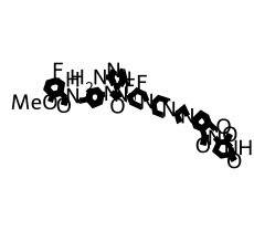 COc1ccc(F)cc1C(=O)NCc1ccc(-n2c(=O)n([C@H]3CCN(C4CCN(C5CN(c6ccc7c(c6)C(=O)N(C6CCC(=O)NC6=O)C7=O)C5)CC4)CC3(F)F)c3ncnc(N)c32)cc1